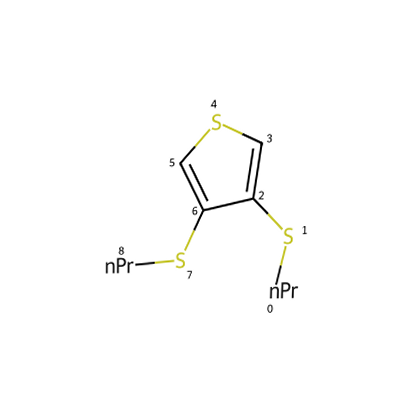 CCCSc1cscc1SCCC